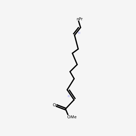 CCC/C=C/CCCCC/C=C/C(=O)OC